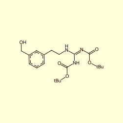 CC(C)(C)OC(=O)N=C(NCCc1cccc(CO)c1)NC(=O)OC(C)(C)C